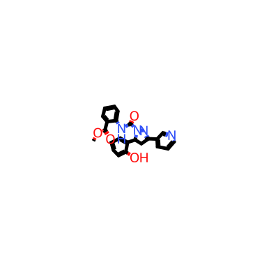 COC(=O)c1ccccc1NC(=O)N1N=C(c2cccnc2)CC1c1ccccc1O